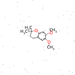 COc1cc2c(cc1OC)OC(C)(C)CC2